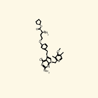 COc1c(C)cnc(Cn2cc(CCc3ccc(OCC[C@H](N)C(=O)OC4CCCC4)cc3)c3c(Cl)nc(N)nc32)c1C